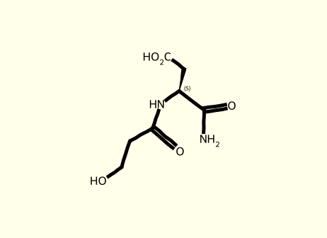 NC(=O)[C@H](CC(=O)O)NC(=O)CCO